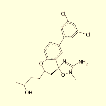 CC(O)CCC1C[C@]2(N=C(N)N(C)O2)c2cc(-c3cc(Cl)cc(Cl)c3)ccc2O1